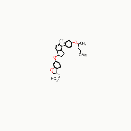 COCC[C@H](C)Oc1ccc(-c2c(C(F)(F)F)ccc3c2CC[C@H]3Oc2ccc3c(c2)OC[C@H]3CC(=O)O)cc1